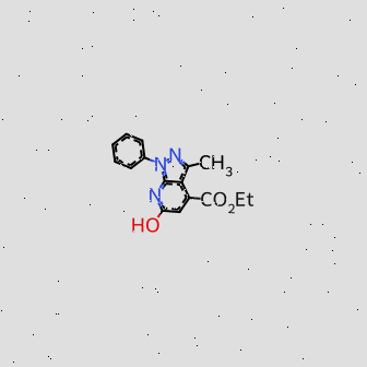 CCOC(=O)c1cc(O)nc2c1c(C)nn2-c1ccccc1